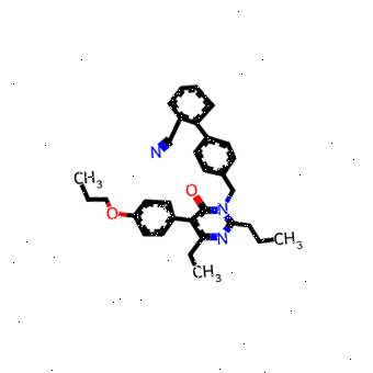 CCCOc1ccc(-c2c(CC)nc(CCC)n(Cc3ccc(-c4ccccc4C#N)cc3)c2=O)cc1